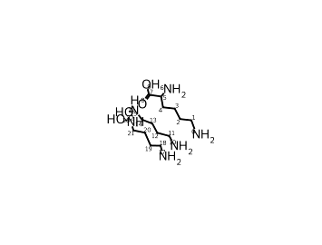 NCCCCC(N)C(=O)O.NCCCCNO.NCCCCNO